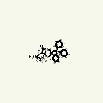 C[Si](C)(C)NC1C(=O)N2CC(C=P(c3ccccc3)(c3ccccc3)c3ccccc3)(C(=O)O)CS[C@H]12